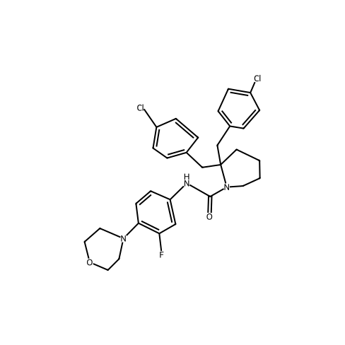 O=C(Nc1ccc(N2CCOCC2)c(F)c1)N1CCCCC1(Cc1ccc(Cl)cc1)Cc1ccc(Cl)cc1